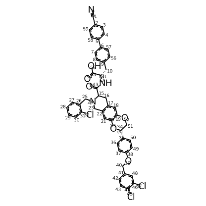 N#Cc1ccc(-c2ccc(C[C@H](NC(=O)C3Cc4cc5c(cc4CN3Cc3ccccc3Cl)O[C@@H](c3ccc(OCc4ccc(Cl)c(Cl)c4)cc3)CO5)C(=O)O)cc2)cc1